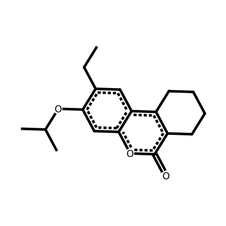 CCc1cc2c3c(c(=O)oc2cc1OC(C)C)CCCC3